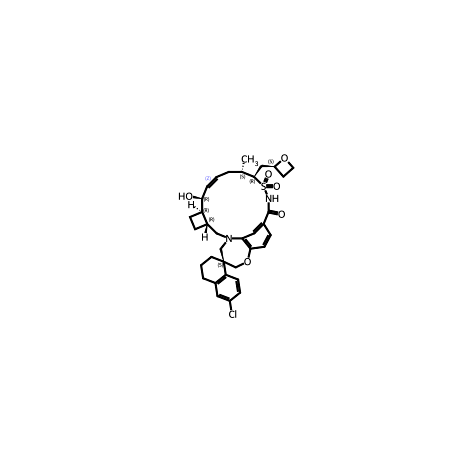 C[C@H]1C/C=C\[C@H](O)[C@@H]2CC[C@H]2CN2C[C@@]3(CCCc4cc(Cl)ccc43)COc3ccc(cc32)C(=O)NS(=O)(=O)[C@@H]1C[C@@H]1CCO1